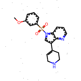 COc1cccc(S(=O)(=O)n2cc(C3=CCNCC3)c3ncccc32)c1